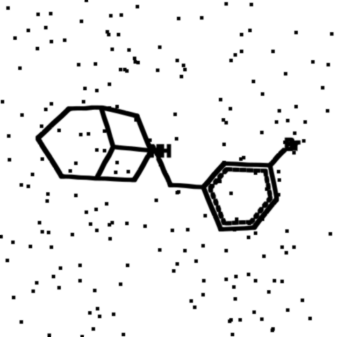 Brc1cccc(CNC2C3CCCC2CCC3)c1